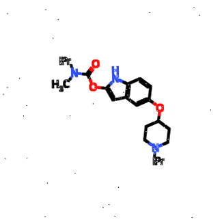 CC(C)N1CCC(Oc2ccc3[nH]c(OC(=O)N(C)C(C)C)cc3c2)CC1